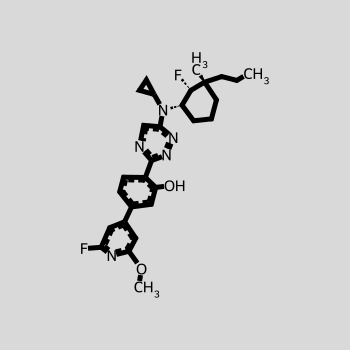 CCC[C@]1(C)CCC[C@H](N(c2cnc(-c3ccc(-c4cc(F)nc(OC)c4)cc3O)nn2)C2CC2)[C@@H]1F